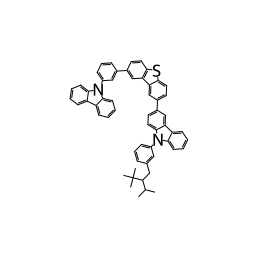 CC(C)C(Cc1cccc(-n2c3ccccc3c3cc(-c4ccc5sc6ccc(-c7cccc(-n8c9ccccc9c9ccccc98)c7)cc6c5c4)ccc32)c1)C(C)(C)C